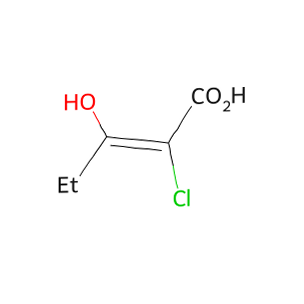 CCC(O)=C(Cl)C(=O)O